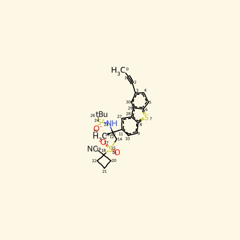 CC#Cc1ccc2sc3ccc([C@](C)(CS(=O)(=O)C4(C#N)CCC4)N[S+]([O-])C(C)(C)C)cc3c2c1